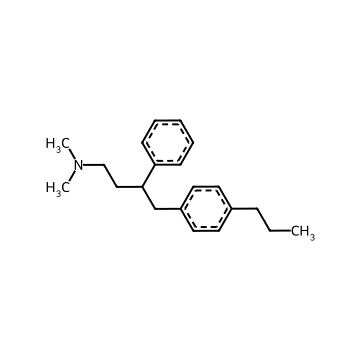 CCCc1ccc(CC(CCN(C)C)c2ccccc2)cc1